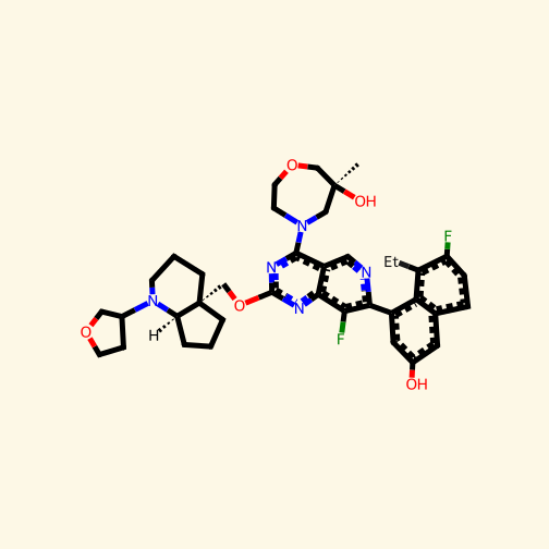 CCc1c(F)ccc2cc(O)cc(-c3ncc4c(N5CCOC[C@@](C)(O)C5)nc(OC[C@]56CCC[C@H]5N(C5CCOC5)CCC6)nc4c3F)c12